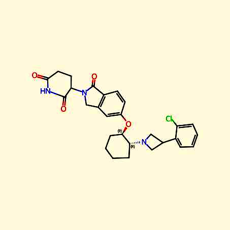 O=C1CCC(N2Cc3cc(O[C@@H]4CCCC[C@H]4N4CC(c5ccccc5Cl)C4)ccc3C2=O)C(=O)N1